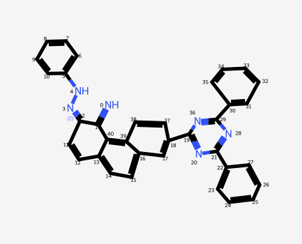 N=C1/C(=N\Nc2ccccc2)C=Cc2ccc3cc(-c4nc(-c5ccccc5)nc(-c5ccccc5)n4)ccc3c21